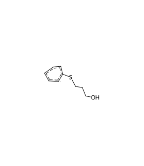 OCCCSc1[c]cccc1